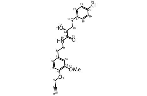 C#CCOc1ccc(CCNC(=O)[C@@H](O)CSc2ccc(Cl)cc2)cc1OC